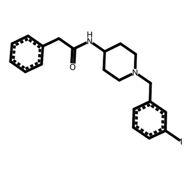 O=C(Cc1ccccc1)NC1CCN(Cc2cccc(I)c2)CC1